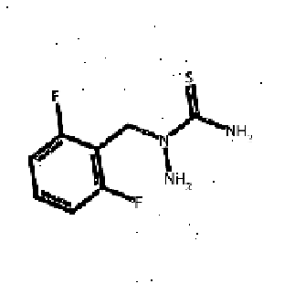 NC(=S)N(N)Cc1c(F)cccc1F